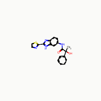 CC(O)(C(=O)Nc1ccc2nc(-c3nccs3)[nH]c2c1)c1ccccc1